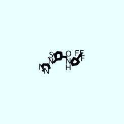 O=C(Nc1cccc(C(F)(F)F)c1)c1ccc2c(c1)CN(c1cncnc1)CS2